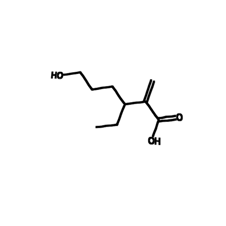 C=C(C(=O)O)C(CC)CCCO